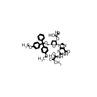 COc1ccc(C(OC[C@@H]2C[C@@H](O[PH](=O)O)[C@H](n3cnc4c(=O)[nH]c(NC(=O)C(C)C)nc43)O2)(c2ccccc2)c2ccc(OC)cc2)cc1